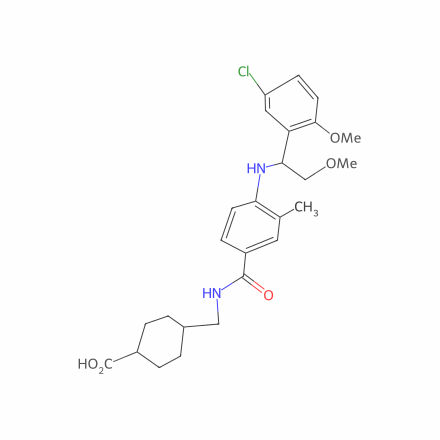 COCC(Nc1ccc(C(=O)NCC2CCC(C(=O)O)CC2)cc1C)c1cc(Cl)ccc1OC